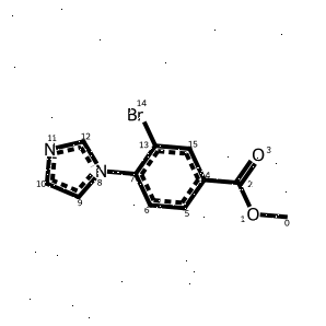 COC(=O)c1ccc(-n2ccnc2)c(Br)c1